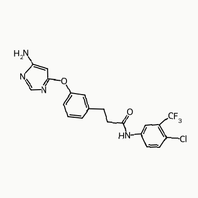 Nc1cc(Oc2cccc(CCC(=O)Nc3ccc(Cl)c(C(F)(F)F)c3)c2)ncn1